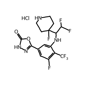 Cl.O=c1[nH]nc(-c2cc(F)c(C(F)(F)F)c(NC(C(F)F)C3(F)CCNCC3)c2)o1